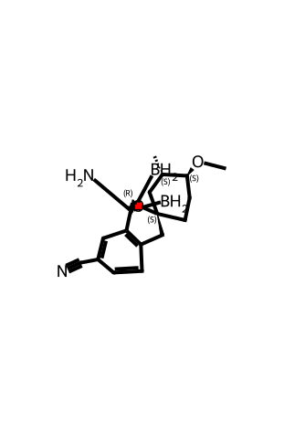 BC1(B)OC(N)=N[C@]12c1cc(C#N)ccc1C[C@@]21CC[C@H](OC)[C@@H](C)C1